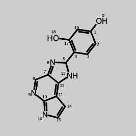 Oc1ccc(C2N=c3cnc4c(c3N2)C=CN=4)c(O)c1